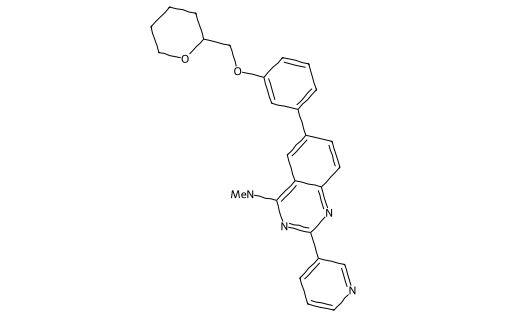 CNc1nc(-c2cccnc2)nc2ccc(-c3cccc(OCC4CCCCO4)c3)cc12